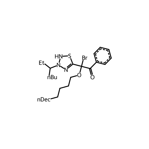 CCCCCCCCCCCCCCOC(Br)(C(=O)c1ccccc1)C1=NN(C(CC)CCCC)NS1